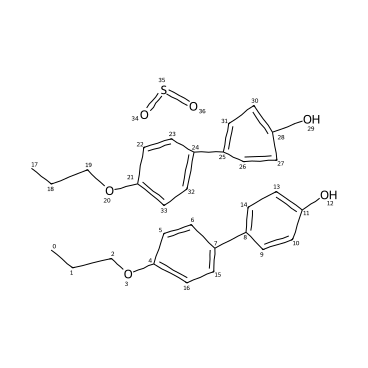 CCCOc1ccc(-c2ccc(O)cc2)cc1.CCCOc1ccc(-c2ccc(O)cc2)cc1.O=S=O